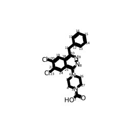 O=C(O)N1CCN(c2nnc(Cc3ccccc3)c3cc(Cl)c(Cl)cc23)CC1